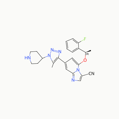 Cc1c(-c2cc(O[C@H](C)c3ccccc3F)n3c(C#N)cnc3c2)nnn1C1CCNCC1